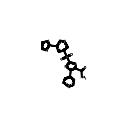 NC(=O)c1sc(S(=O)(=O)c2cncc(-c3nccs3)c2)nc1-c1ccncc1